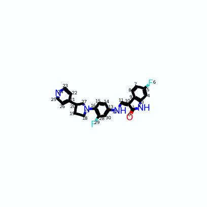 O=C1Nc2cc(F)ccc2C1=CNc1ccc(N2CCC(c3ccncc3)C2)c(F)c1